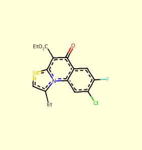 CCOC(=O)c1c(=O)c2cc(F)c(Cl)cc2n2c(CC)csc12